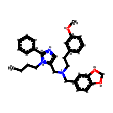 CCCCn1c(CN(CCc2cccc(OC)c2)Cc2ccc3c(c2)OCO3)cnc1-c1ccccc1